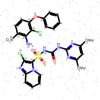 COc1cc(OC)nc(NC(=O)NS(=O)(=O)c2c(Cl)nc3ccccn23)n1.Nc1c([N+](=O)[O-])ccc(Oc2ccccc2)c1Cl